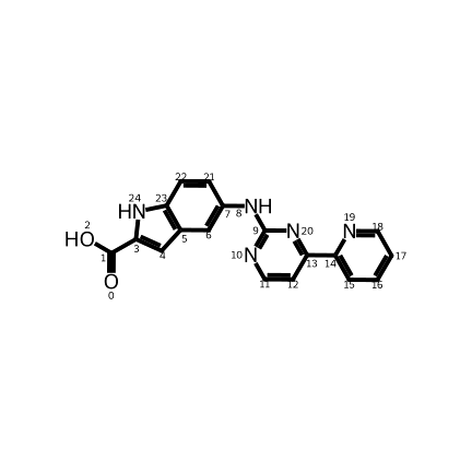 O=C(O)c1cc2cc(Nc3nccc(-c4ccccn4)n3)ccc2[nH]1